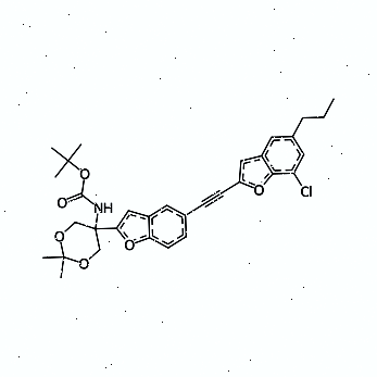 CCCc1cc(Cl)c2oc(C#Cc3ccc4oc(C5(NC(=O)OC(C)(C)C)COC(C)(C)OC5)cc4c3)cc2c1